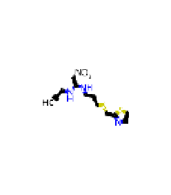 C#CCN/C(=C/[N+](=O)[O-])NCCCSCc1nccs1